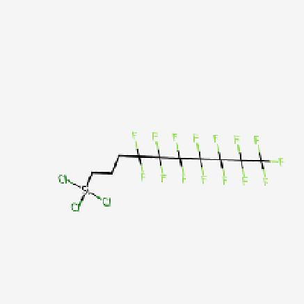 FC(F)(F)C(F)(F)C(F)(F)C(F)(F)C(F)(F)C(F)(F)C(F)(F)CCC[Si](Cl)(Cl)Cl